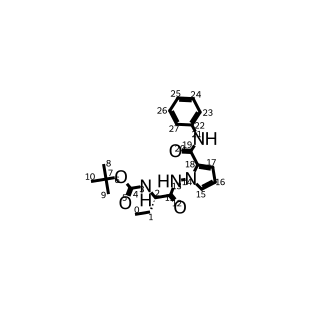 CC[C@H](NC(=O)OC(C)(C)C)C(=O)Nn1cccc1C(=O)Nc1ccccc1